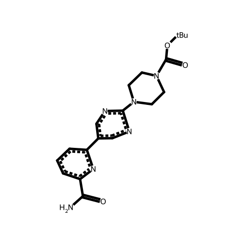 CC(C)(C)OC(=O)N1CCN(c2ncc(-c3cccc(C(N)=O)n3)cn2)CC1